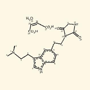 CN(C)CCc1c[nH]c2ccc(CCN3C(=O)CNC3=O)cc12.O.O=C(O)/C=C\C(=O)O